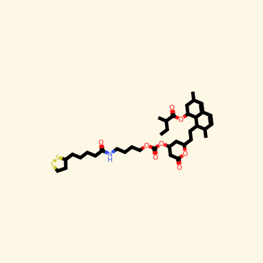 CCC(C)C(=O)OC1CC(C)C=C2C=CC(C)C(CCC3CC(OC(=O)OCCCCNC(=O)CCCCC4CCSS4)CC(=O)O3)C21